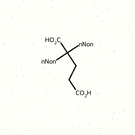 CCCCCCCCCC(CCCCCCCCC)(CCC(=O)O)C(=O)O